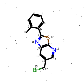 Cc1ccccc1-c1nc2cc(CBr)cnc2s1